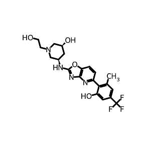 Cc1cc(C(F)(F)F)cc(O)c1-c1ccc2oc(N[C@@H]3C[C@H](O)CN(CCO)C3)nc2n1